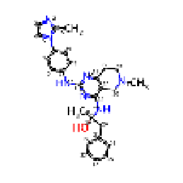 Cc1nccn1-c1ccc(Nc2nc3c(c(NC(C)(O)Cc4ccccc4)n2)CN(C)CC3)cc1